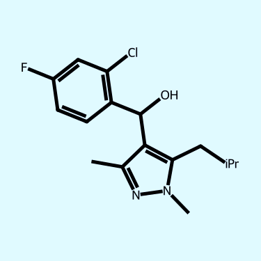 Cc1nn(C)c(CC(C)C)c1C(O)c1ccc(F)cc1Cl